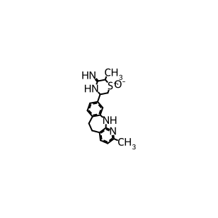 Cc1ccc2c(n1)Nc1cc(C3C[S+]([O-])C(C)C(=N)N3)ccc1CC2